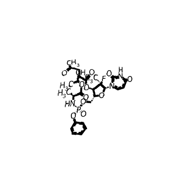 CC(=O)CCC(=O)O[C@@H]1[C@@H](CO[P@](=O)(N[C@@H](C)C(=O)OC(C)C)Oc2ccccc2)O[C@@H](n2ccc(=O)[nH]c2=O)[C@]1(C)F